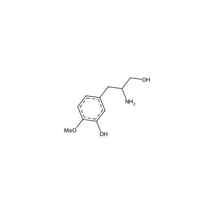 COc1ccc(CC(N)CO)cc1O